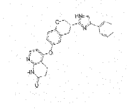 C/C=C\C(=C/C)c1c[nH]c(C2COc3ccc(Oc4ccnc5c4CCC(=O)N5)cc3C2)n1